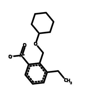 CCc1cccc([N+](=O)[O-])c1COC1CCCCC1